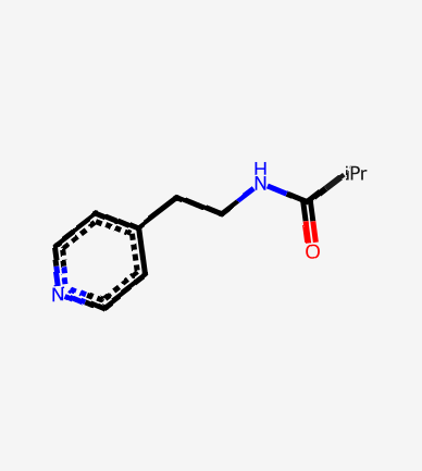 CC(C)C(=O)NCCc1ccncc1